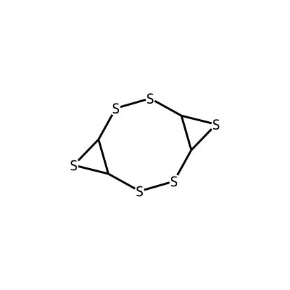 S1SC2SC2SSC2SC12